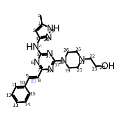 Cc1cc(Nc2nc(/C=C/c3ccccc3)nc(N3CCN(CCO)CC3)n2)n[nH]1